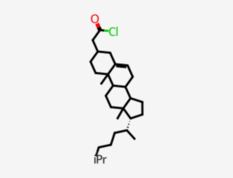 CC(C)CCCC(C)[C@H]1CCC2C3CC=C4CC(CC(=O)Cl)CCC4(C)C3CCC21C